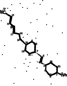 CCC[C@H]1CC[C@H](C=C[C@H]2CC[C@H](CCC=CC=CC#N)CC2)CC1